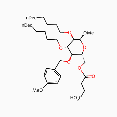 CCCCCCCCCCCCCCO[C@@H]1[C@@H](OCCCCCCCCCCCCCC)[C@@H](OC)O[C@H](COC(=O)CCC(=O)O)[C@H]1OCc1ccc(OC)cc1